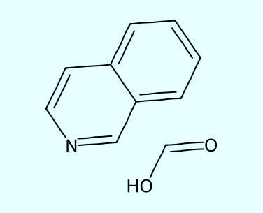 O=CO.c1ccc2cnccc2c1